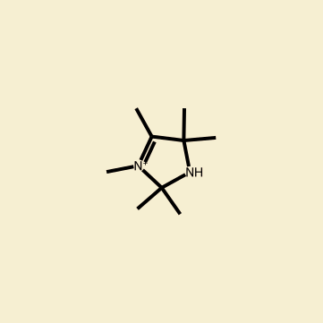 CC1=[N+](C)C(C)(C)NC1(C)C